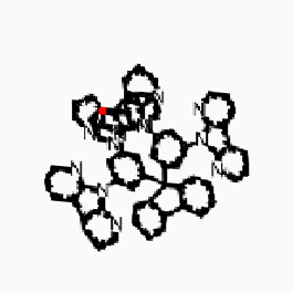 c1ccc2c(c1)-c1ccccc1C2(c1cc(-n2c3ncccc3c3cccnc32)cc(-n2c3ncccc3c3cccnc32)c1)c1cc(-n2c3ncccc3c3cccnc32)cc(-n2c3ncccc3c3cccnc32)c1